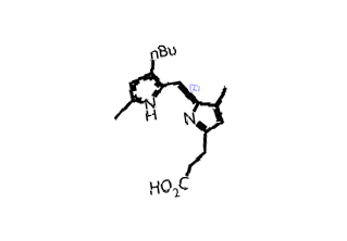 CCCCc1cc(C)[nH]c1/C=C1\N=C(CCC(=O)O)C=C1C